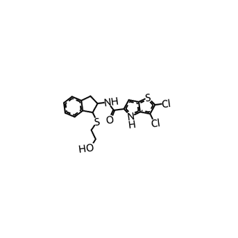 O=C(NC1Cc2ccccc2C1SCCO)c1cc2sc(Cl)c(Cl)c2[nH]1